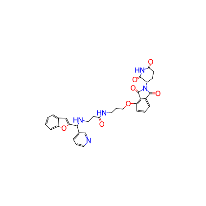 O=C(CCNC(c1cccnc1)c1cc2ccccc2o1)NCCCOc1cccc2c1C(=O)N(C1CCC(=O)NC1=O)C2=O